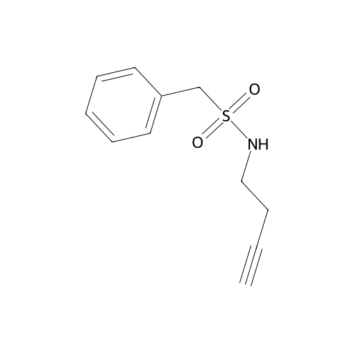 C#CCCNS(=O)(=O)Cc1ccccc1